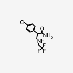 NC(=O)C(CNCC(F)(F)F)c1ccc(Cl)cc1